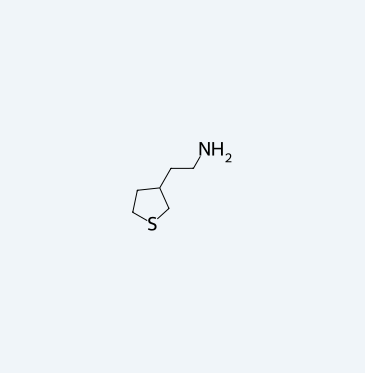 NCCC1CCSC1